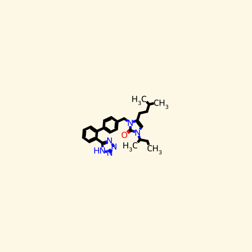 CCC(C)n1cc(CCC(C)C)n(Cc2ccc(-c3ccccc3-c3nnn[nH]3)cc2)c1=O